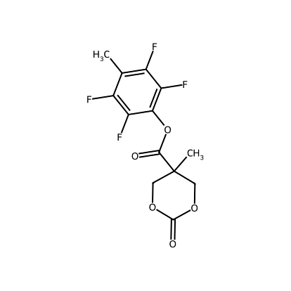 Cc1c(F)c(F)c(OC(=O)C2(C)COC(=O)OC2)c(F)c1F